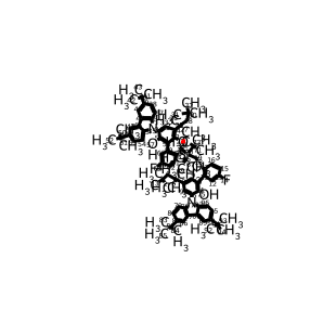 CC(C)(C)CC(C)(C)c1cc(-c2cc(F)ccc2OC[Si](COc2c(C(C)(C)CC(C)(C)C)cc(-n3c4ccc(C(C)(C)C)cc4c4cc(C(C)(C)C)ccc43)c(O)c2-c2cccc(F)c2)(C(C)(C)C)C(C)(C)C)c(O)c(-n2c3ccc(C(C)(C)C)cc3c3cc(C(C)(C)C)ccc32)c1